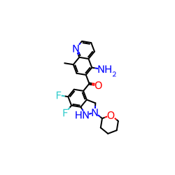 Cc1cc(C(=O)c2cc(F)c(F)c3c2CN(C2CCCCO2)N3)c(N)c2cccnc12